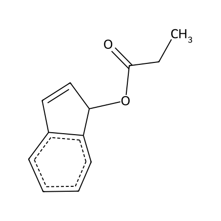 CCC(=O)OC1C=Cc2ccccc21